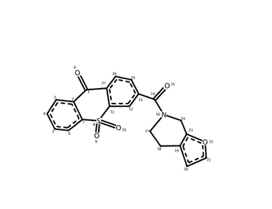 O=C1c2ccccc2S(=O)(=O)c2cc(C(=O)N3CCc4ccoc4C3)ccc21